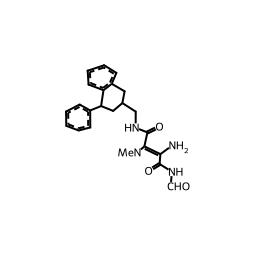 CN/C(C(=O)NCC1Cc2ccccc2C(c2ccccc2)C1)=C(/N)C(=O)NC=O